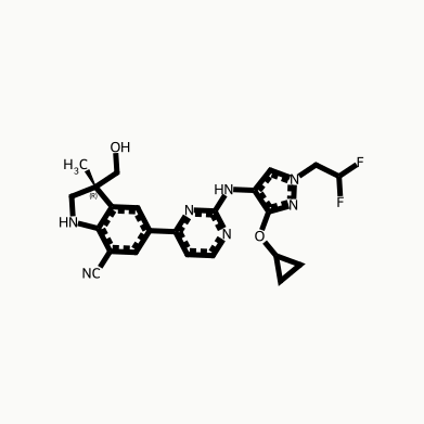 C[C@]1(CO)CNc2c(C#N)cc(-c3ccnc(Nc4cn(CC(F)F)nc4OC4CC4)n3)cc21